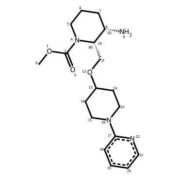 COC(=O)N1CCC[C@H](N)[C@@H]1COC1CCN(c2ccccn2)CC1